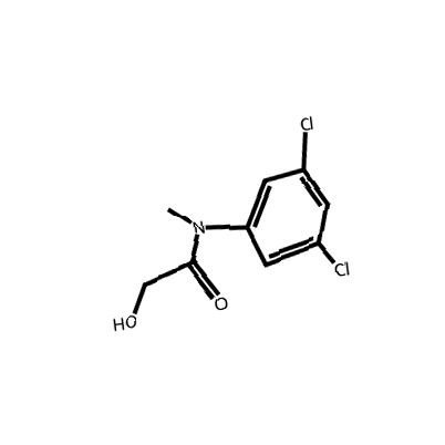 CN(C(=O)CO)c1cc(Cl)cc(Cl)c1